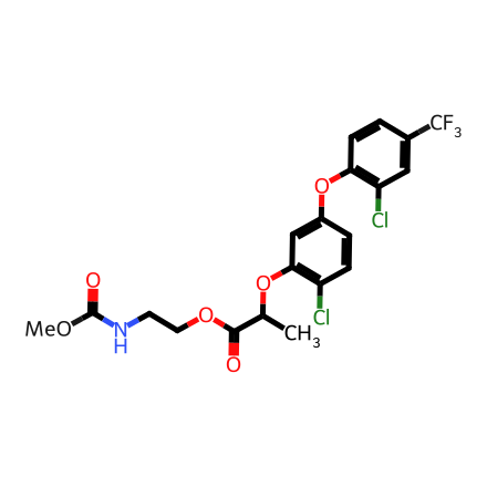 COC(=O)NCCOC(=O)C(C)Oc1cc(Oc2ccc(C(F)(F)F)cc2Cl)ccc1Cl